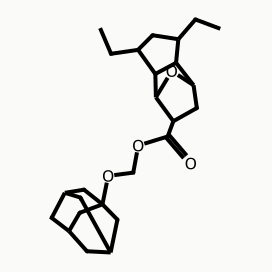 CCC1CC(CC)C2C3OC(CC3C(=O)OCOC34CC5CC(CC(C5)C3)C4)C12